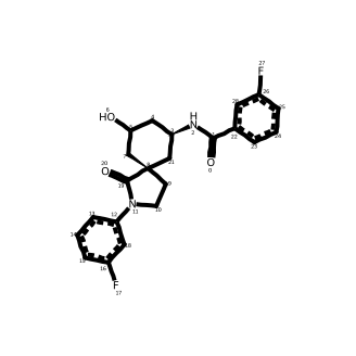 O=C(N[C@@H]1CC(O)C[C@]2(CCN(c3cccc(F)c3)C2=O)C1)c1cccc(F)c1